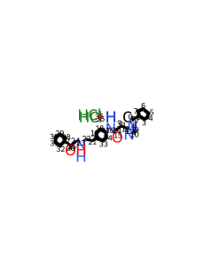 C[C@H](c1ccccc1)n1ccnc1CC(=O)Nc1ccc(CCNCC(O)c2ccccc2)cc1.Cl.Cl